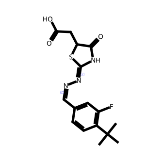 CC(C)(C)c1ccc(/C=N\N=C2\NC(=O)C(CC(=O)O)S2)cc1F